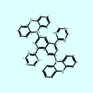 c1ccc2c(c1)Oc1ccccc1N2c1cc(-c2ncncn2)c2cc(N3c4ccccc4Oc4ccccc43)cc(-c3ncncn3)c2c1